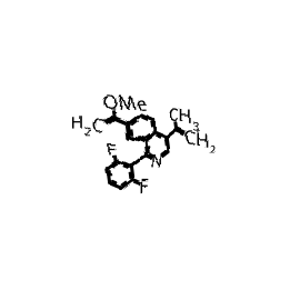 C=C(OC)c1ccc2c(C(=C)C)cnc(-c3c(F)cccc3F)c2c1